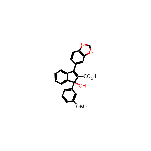 COc1cccc(C2(O)C(C(=O)O)=C(c3ccc4c(c3)OCO4)c3ccccc32)c1